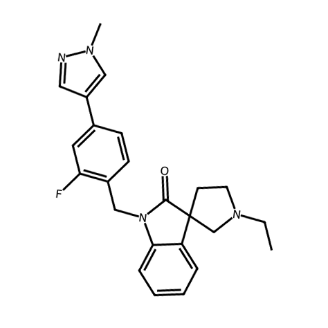 CCN1CCC2(C1)C(=O)N(Cc1ccc(-c3cnn(C)c3)cc1F)c1ccccc12